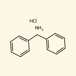 Cl.N.c1ccc(Cc2ccccc2)cc1